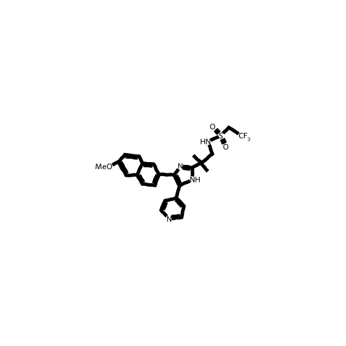 COc1ccc2cc(-c3nc(C(C)(C)CNS(=O)(=O)CC(F)(F)F)[nH]c3-c3ccncc3)ccc2c1